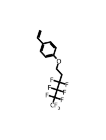 C=Cc1ccc(OCCC(F)(F)C(F)(F)C(F)(F)C(F)(F)F)cc1